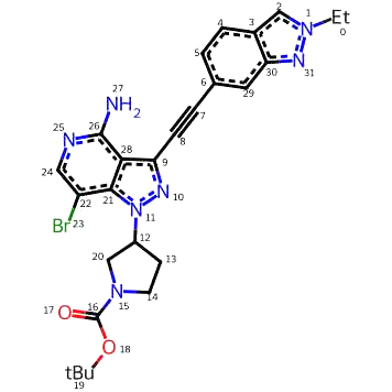 CCn1cc2ccc(C#Cc3nn(C4CCN(C(=O)OC(C)(C)C)C4)c4c(Br)cnc(N)c34)cc2n1